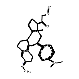 CCOCC(=O)C1CCC2C3CCC4=C/C(=N/OC)CCC4=C3C(c3ccc(N(C)C)cc3)CC12C